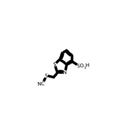 N#CSCc1nc2c(S(=O)(=O)O)cccc2s1